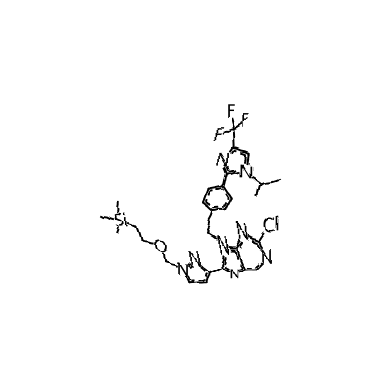 CC(C)n1cc(C(F)(F)F)nc1-c1ccc(Cn2c(-c3ccn(COCC[Si](C)(C)C)n3)nc3cnc(Cl)nc32)cc1